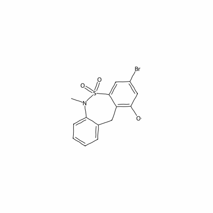 CN1c2ccccc2Cc2c([O])cc(Br)cc2S1(=O)=O